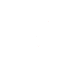 CCCCCC1C(O)CCC1(C)CC(=O)O